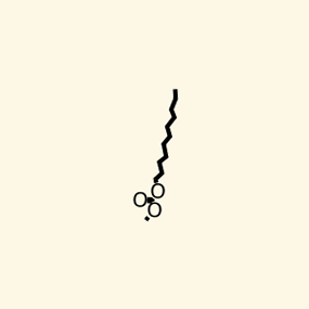 CCCCCCCCCCCOC(=O)OC